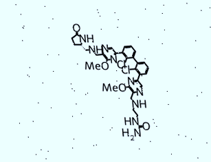 COc1nc(-c2cccc(-c3cccc(-c4cnc(CNC[C@@H]5CCC(=O)N5)c(OC)n4)c3Cl)c2Cl)cnc1CNCCNC(N)=O